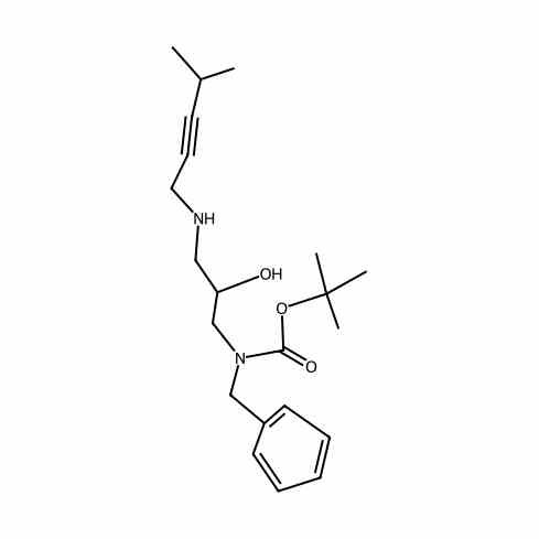 CC(C)C#CCNCC(O)CN(Cc1ccccc1)C(=O)OC(C)(C)C